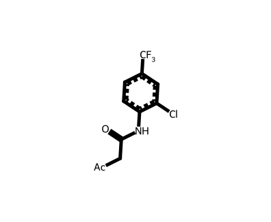 CC(=O)CC(=O)Nc1ccc(C(F)(F)F)cc1Cl